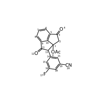 CC(=O)OC12CC(=O)c3cccc(c31)C(=O)C2c1cc(F)cc(C#N)c1